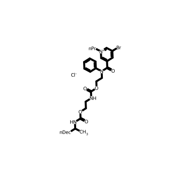 CCCCCCCCCCC(C)NC(=O)OCCNC(=O)OCCN(C(=O)c1cc(Br)c[n+](CCC)c1)c1ccccc1.[Cl-]